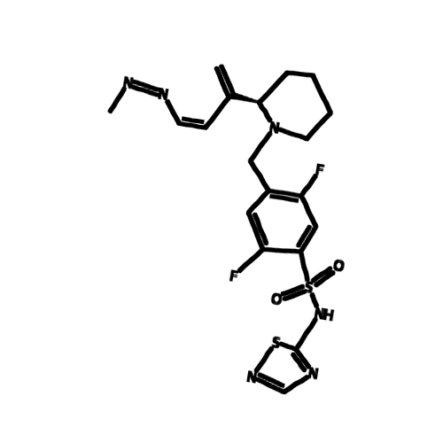 C=C(/C=C\N=N/C)[C@H]1CCCCN1Cc1cc(F)c(S(=O)(=O)Nc2ncns2)cc1F